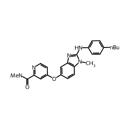 CCCCc1ccc(Nc2nc3cc(Oc4ccnc(C(=O)NC)c4)ccc3n2C)cc1